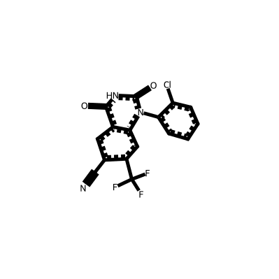 N#Cc1cc2c(=O)[nH]c(=O)n(-c3ccccc3Cl)c2cc1C(F)(F)F